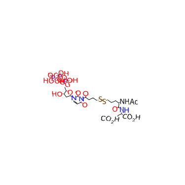 CC(=O)NC(CCCSSCCCC(=O)n1c(=O)ccn(C2CC(O)C(COP(=O)(O)OP(=O)(O)OP(=O)(O)O)O2)c1=O)C(=O)NC(CC(=O)O)C(=O)O